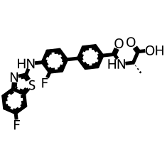 C[C@H](NC(=O)c1ccc(-c2ccc(Nc3nc4ccc(F)cc4s3)c(F)c2)cc1)C(=O)O